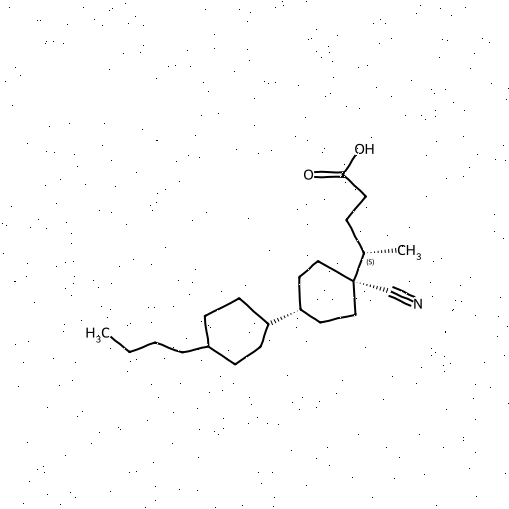 CCCCC1CCC([C@H]2CC[C@](C#N)([C@@H](C)CCC(=O)O)CC2)CC1